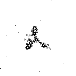 COC1CC2=C(C=C1OCc1cc(COC3=CC4=C(CC3OC)C(=O)N3CCCC[C@@H]3C=N4)cc(OCCOc3ccc(C(C)=O)cc3)c1)N=C[C@H]1CCCCN1C2=O